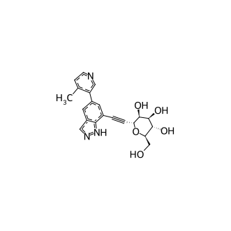 Cc1ccncc1-c1cc(C#C[C@H]2O[C@H](CO)[C@@H](O)[C@H](O)[C@@H]2O)c2[nH]ncc2c1